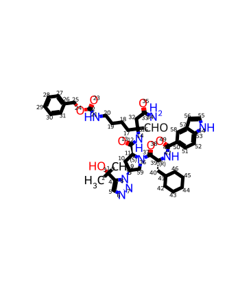 CC(C)(O)c1cnnn1[C@H]1C[C@@H](C(=O)NC(C=O)(CCCCNC(=O)OCc2ccccc2)CC(N)=O)N(C(=O)[C@@H](CC2CCCCC2)NC(=O)c2ccc3[nH]ccc3c2)C1